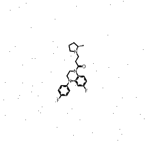 C[C@@H]1CCCN1CCC(=O)N1CCN(c2ccc(F)cc2)c2cc(F)ccc21